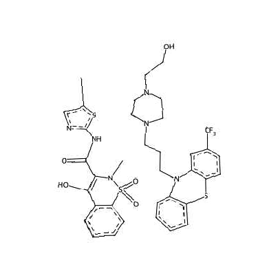 Cc1cnc(NC(=O)C2=C(O)c3ccccc3S(=O)(=O)N2C)s1.OCCN1CCN(CCCN2c3ccccc3Sc3ccc(C(F)(F)F)cc32)CC1